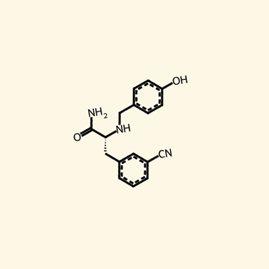 N#Cc1cccc(C[C@@H](NCc2ccc(O)cc2)C(N)=O)c1